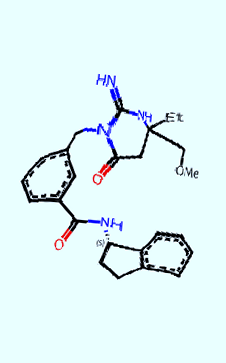 CCC1(COC)CC(=O)N(Cc2cccc(C(=O)N[C@H]3CCc4ccccc43)c2)C(=N)N1